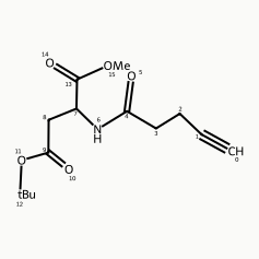 C#CCCC(=O)NC(CC(=O)OC(C)(C)C)C(=O)OC